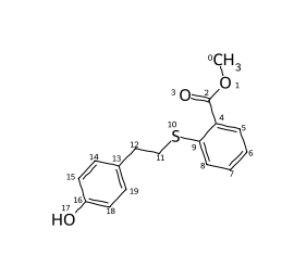 COC(=O)c1ccccc1SCCc1ccc(O)cc1